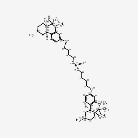 C[C@@H]1CC[C@@H]2[C@@H](C1)c1ccc(OCCCCO[N+](=O)OCCCCOc3ccc4c(c3)N(C)C(C)(C)[C@@H]3CC[C@@H](C)C[C@@H]43)cc1N(C)C2(C)C